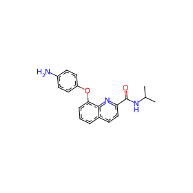 CC(C)NC(=O)c1ccc2cccc(Oc3ccc(N)cc3)c2n1